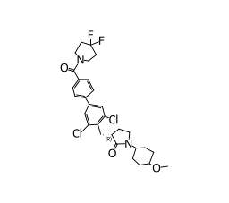 COC1CCC(N2CC[C@@H](Cc3c(Cl)cc(-c4ccc(C(=O)N5CCC(F)(F)CC5)cc4)cc3Cl)C2=O)CC1